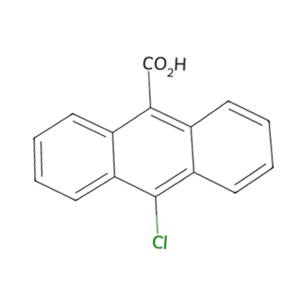 O=C(O)c1c2ccccc2c(Cl)c2ccccc12